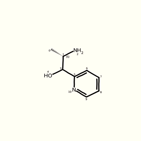 C[C@H](N)C(O)c1ccccn1